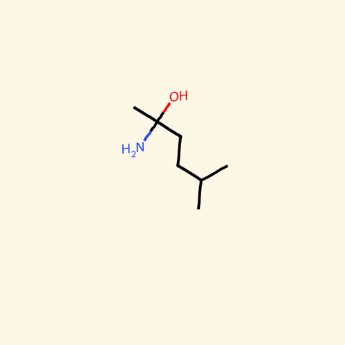 CC(C)CCC(C)(N)O